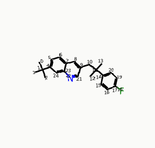 CC(C)(C)c1ccc2cc(CC(C)(C)c3ccc(F)cc3)cnc2c1